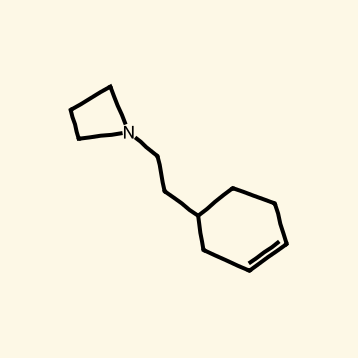 C1=CCC(CCN2CCC2)CC1